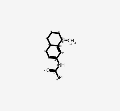 CC(C)C(=O)NC1=CCC2CCC[C@@H](C)C2=C1